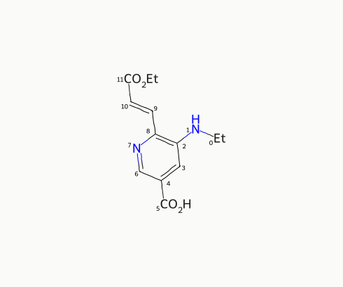 CCNc1cc(C(=O)O)cnc1C=CC(=O)OCC